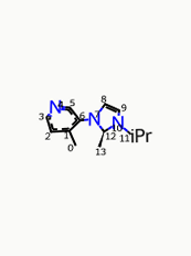 Cc1ccncc1N1C=CN(C(C)C)[C@H]1C